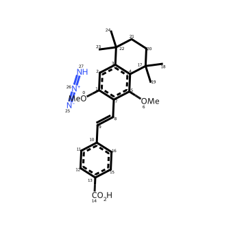 COc1cc2c(c(OC)c1C=Cc1ccc(C(=O)O)cc1)C(C)(C)CCC2(C)C.[N-]=[N+]=N